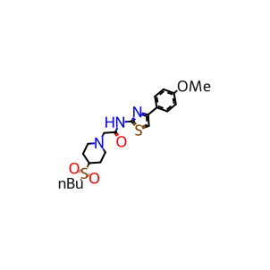 CCCCS(=O)(=O)C1CCN(CC(=O)Nc2nc(-c3ccc(OC)cc3)cs2)CC1